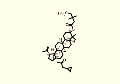 C=C(C)[C@@H]1CC[C@]2(CC(=O)CC3CC3)CC[C@]3(C)[C@H](CC[C@@H]4[C@@]5(C)CC[C@H](OC(=O)CC(C)(C)CC(=O)O)C(C)(C)[C@@H]5CC[C@]43C)[C@@H]12